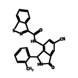 Cc1ccccc1C1NC(=O)c2cc(C#N)cc(NC(=O)c3nsc4ccccc34)c21